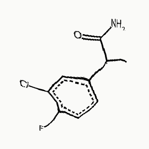 C[C](C(N)=O)c1ccc(F)c(Cl)c1